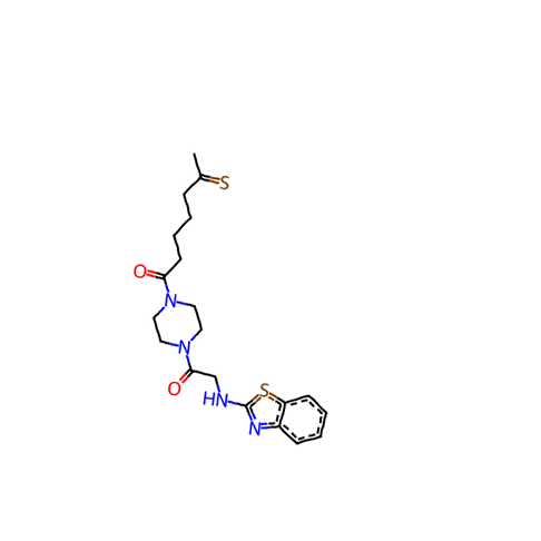 CC(=S)CCCCC(=O)N1CCN(C(=O)CNc2nc3ccccc3s2)CC1